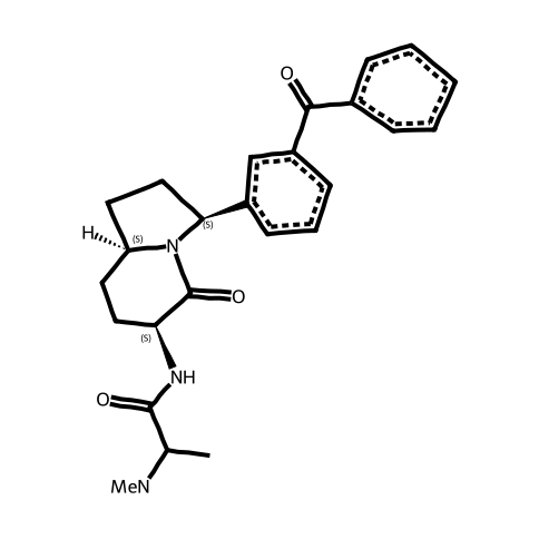 CNC(C)C(=O)N[C@H]1CC[C@H]2CC[C@@H](c3cccc(C(=O)c4ccccc4)c3)N2C1=O